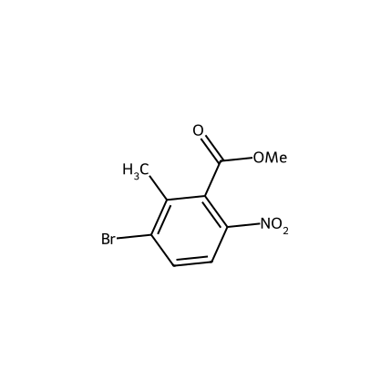 COC(=O)c1c([N+](=O)[O-])ccc(Br)c1C